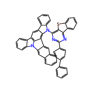 c1ccc(-c2ccc(-c3nc(-n4c5ccccc5c5cc6c7ccccc7n7c8cc9ccccc9cc8c(c54)c67)c4sc5ccccc5c4n3)cc2)cc1